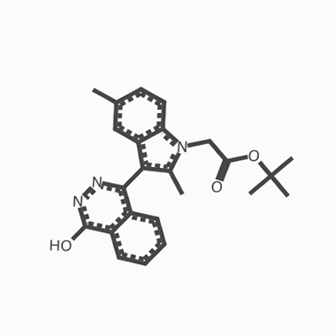 Cc1ccc2c(c1)c(-c1nnc(O)c3ccccc13)c(C)n2CC(=O)OC(C)(C)C